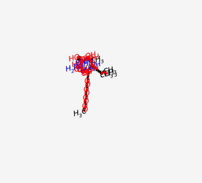 CCC(C)CC(C)CCCCCCCCC(=O)N[C@H]1C[C@@H](O)[C@@H](OCCCCCCOCCOCCOCCOCCOCCOCCOCCOC)NC(=O)C2[C@@H](O)CCN2C(=O)C([C@H](O)CC(N)=O)NC(=O)C([C@H](O)[C@@H](O)c2ccc(O)cc2)NC(=O)C2C[C@@H](O)CN2C(=O)C([C@@H](C)O)NC1=O